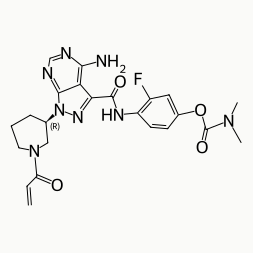 C=CC(=O)N1CCC[C@@H](n2nc(C(=O)Nc3ccc(OC(=O)N(C)C)cc3F)c3c(N)ncnc32)C1